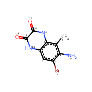 Nc1c(Br)cc2c(c1C(F)(F)F)[N]C(=O)C(=O)N2